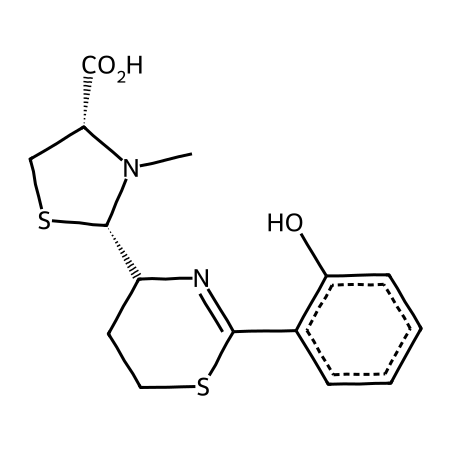 CN1[C@@H](C(=O)O)CS[C@H]1C1CCSC(c2ccccc2O)=N1